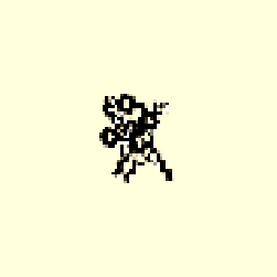 CCCCOC[C@H]1OC(O)(c2ccc(Br)c(Cc3ccc4c(c3)N(Cc3ccccc3)CCO4)c2)[C@H](OCCCC)[C@@H](OCCCC)[C@@H]1OCCCC